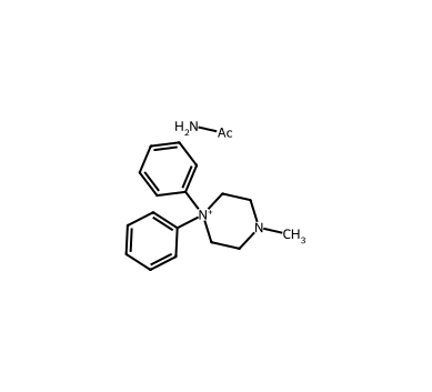 CC(N)=O.CN1CC[N+](c2ccccc2)(c2ccccc2)CC1